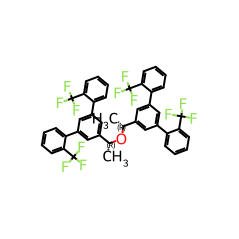 C[C@@H](O[C@H](C)c1cc(-c2ccccc2C(F)(F)F)cc(-c2ccccc2C(F)(F)F)c1)c1cc(-c2ccccc2C(F)(F)F)cc(-c2ccccc2C(F)(F)F)c1